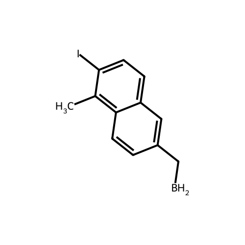 BCc1ccc2c(C)c(I)ccc2c1